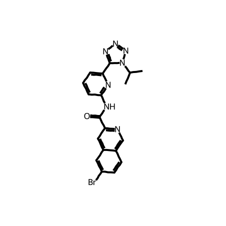 CC(C)n1nnnc1-c1cccc(NC(=O)c2cc3cc(Br)ccc3cn2)n1